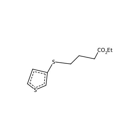 CCOC(=O)CCCSc1ccsc1